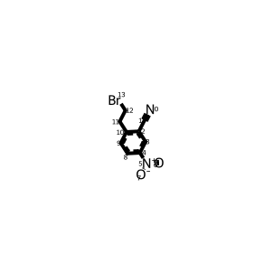 N#Cc1cc([N+](=O)[O-])ccc1CCBr